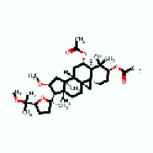 CO[C@H]1C[C@@]2(C)[C@@H]3C[C@H](OC(C)=O)[C@H]4C(C)(C)[C@@H](OC(C)=O)CC[C@@]45C[C@@]35CC[C@]2(C)[C@H]1[C@@]1(C)CC[C@@H](C(C)(C)OC)O1